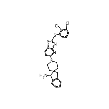 N[C@@H]1c2ccccc2CC12CCN(c1ccc3sc(Sc4cccc(Cl)c4Cl)nc3n1)CC2